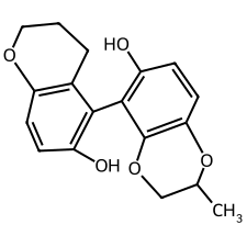 CC1COc2c(ccc(O)c2-c2c(O)ccc3c2CCCO3)O1